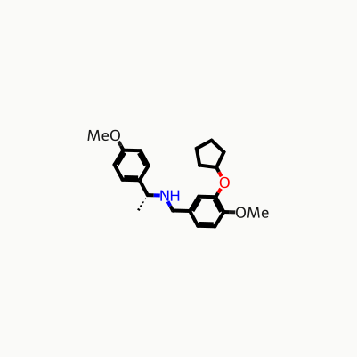 COc1ccc([C@@H](C)NCc2ccc(OC)c(OC3CCCC3)c2)cc1